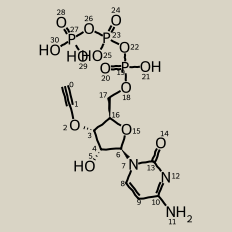 C#CO[C@H]1[C@@H](O)[C@H](n2ccc(N)nc2=O)O[C@@H]1COP(=O)(O)OP(=O)(O)OP(=O)(O)O